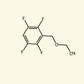 N#CCOCc1c(F)c(F)cc(F)c1F